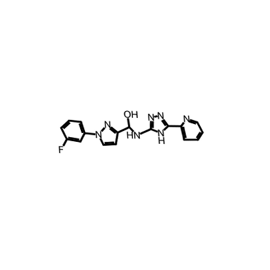 OC(Nc1nnc(-c2ccccn2)[nH]1)c1ccn(-c2cccc(F)c2)n1